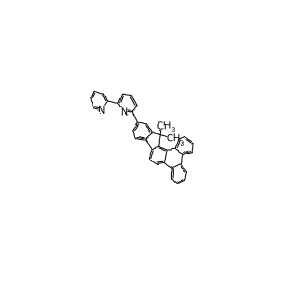 CC1(C)c2cc(-c3cccc(-c4ccccn4)n3)ccc2-c2ccc3c4ccccc4c4ccccc4c3c21